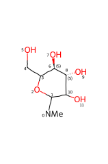 CNC1OC(CO)[C@@H](O)[C@H](O)C1O